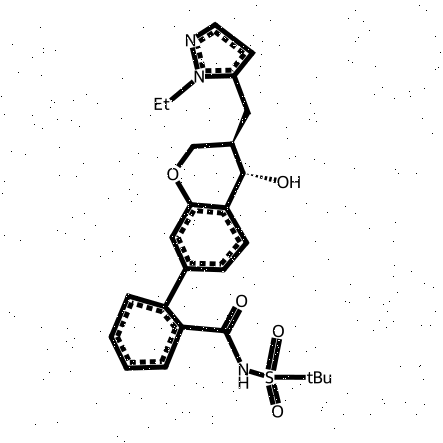 CCn1nccc1C[C@@H]1COc2cc(-c3ccccc3C(=O)NS(=O)(=O)C(C)(C)C)ccc2[C@H]1O